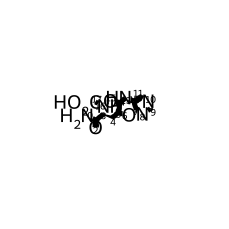 NC(=O)[C@H](CC1Oc2ncncc2NC1=O)NC(=O)O